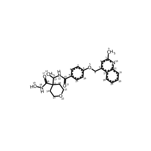 Cc1cc(COc2ccc(C(=O)NC(C)C3(C(=O)NO)CCOCC3)cc2)c2ccccc2n1